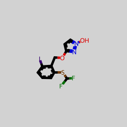 On1ccc(OCc2c(I)cccc2SC(F)F)n1